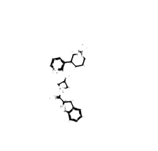 CC(=O)N1CCCC(c2cccnc2OC2CN(C(=O)C3Cc4ccccc4N3)C2)C1